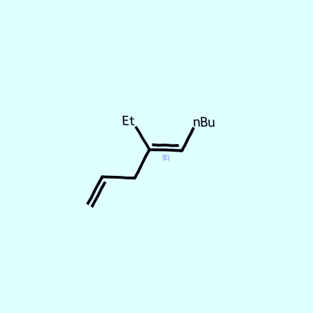 C=CC/C(=C/CCCC)CC